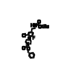 CC(C)(C)OC(=O)NCCc1cc(F)c(N2CCN(C(=O)OCc3ccccc3)CC2)c(Cl)c1